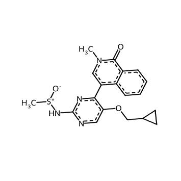 Cn1cc(-c2nc(N[S+](C)[O-])ncc2OCC2CC2)c2ccccc2c1=O